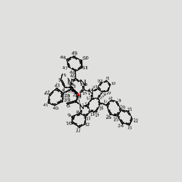 C=C(/C=C\C=C/C)n1c2ccccc2c2cc(-c3ccc4ccccc4c3)c3c4ccccc4n(-c4nc(-c5ccccc5)nc(-c5ccccc5)n4)c3c21